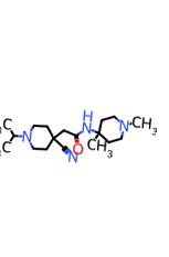 CC(C)N1CCC(C#N)(CC(=O)NC2(C)CCN(C)CC2)CC1